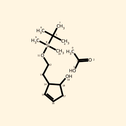 CC(=O)O.CC(C)(C)[Si](C)(C)OCCC1C=CCC1O